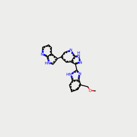 COCc1cccc2[nH]c(-c3n[nH]c4ncc(-c5c[nH]c6ncccc56)cc34)nc12